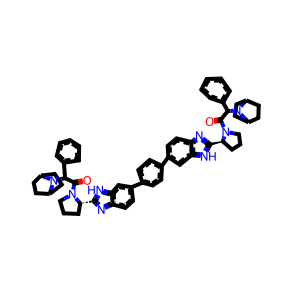 O=C(C(c1ccccc1)N1C2CCC1CC2)N1CCC[C@H]1c1nc2ccc(-c3ccc(-c4ccc5nc([C@@H]6CCCN6C(=O)C(c6ccccc6)N6C7CCC6CC7)[nH]c5c4)cc3)cc2[nH]1